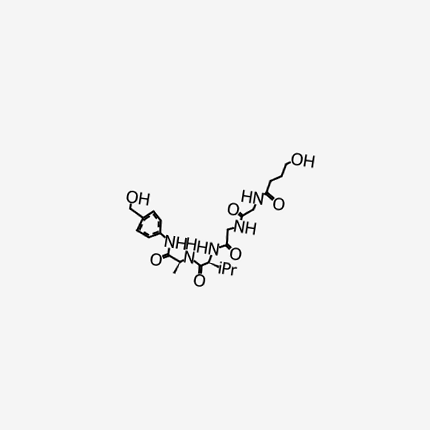 CC(C)[C@H](NC(=O)CNC(=O)CNC(=O)CCCO)C(=O)N[C@@H](C)C(=O)Nc1ccc(CO)cc1